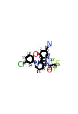 N#Cc1ccc2c(c1)Oc1ccc(Cl)cc1N1CCC[C@H](NC(=O)C(F)(F)F)[C@H]21